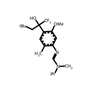 COc1cc(/N=C/N(C)C(C)C)c(C)cc1C(O)(CC(C)(C)C)C(F)(F)F